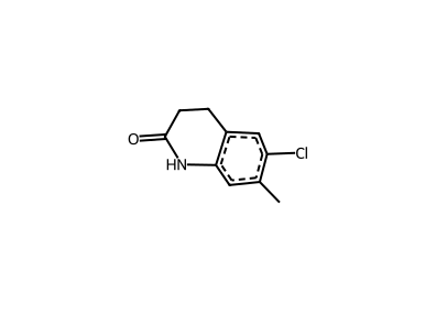 Cc1cc2c(cc1Cl)CCC(=O)N2